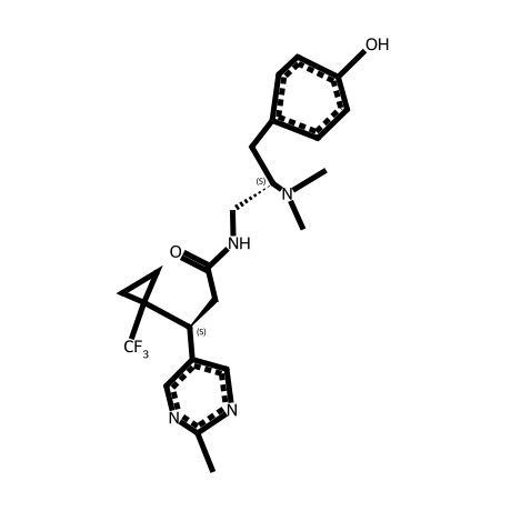 Cc1ncc([C@H](CC(=O)NC[C@H](Cc2ccc(O)cc2)N(C)C)C2(C(F)(F)F)CC2)cn1